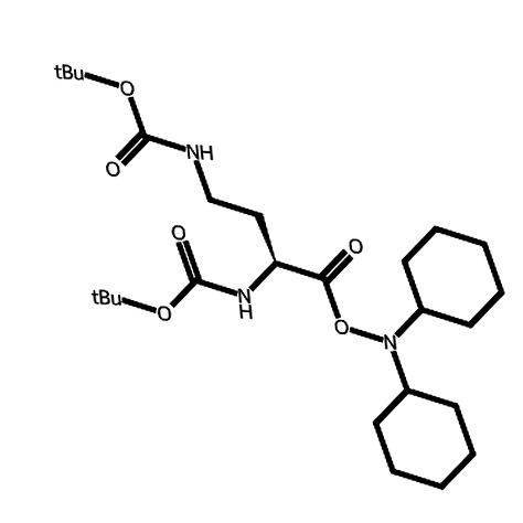 CC(C)(C)OC(=O)NCC[C@H](NC(=O)OC(C)(C)C)C(=O)ON(C1CCCCC1)C1CCCCC1